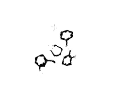 Cc1c(F)cccc1[C@H]1[C@@H](C(=O)c2cccc(O)c2)CNC[C@H]1C(=O)c1cccc(O)c1